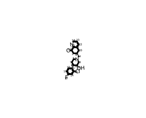 O=C1C[C@H](CN2CC[C@H](c3ccc(F)cc3Cl)[C@@H](O)C2)Cc2cccnc21